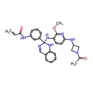 C=CC(=O)Nc1cccc(C2(Nc3ccc(NC4CN(C(C)=O)C4)nc3OC)N=Cc3ccccc3N2)c1